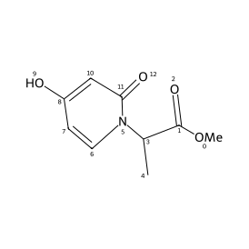 COC(=O)C(C)n1ccc(O)cc1=O